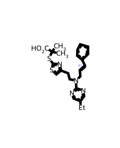 CCc1cnc(N(C/C=C/c2ccccc2)CCc2csc(SC(C)(C)C(=O)O)n2)nc1